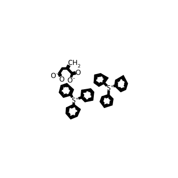 C=C(CC(=O)[O-])C(=O)[O-].c1ccc([S+](c2ccccc2)c2ccccc2)cc1.c1ccc([S+](c2ccccc2)c2ccccc2)cc1